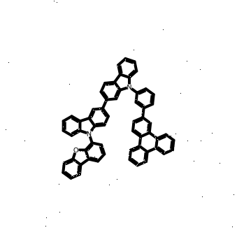 c1cc(-c2ccc3c4ccccc4c4ccccc4c3c2)cc(-n2c3ccccc3c3ccc(-c4ccc5c(c4)c4ccccc4n5-c4cccc5c4oc4ccccc45)cc32)c1